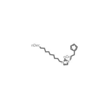 CCCCCCCCCCCCCCCCCCCn1cc[n+](CCCc2ccccc2)c1CCCCCCCC